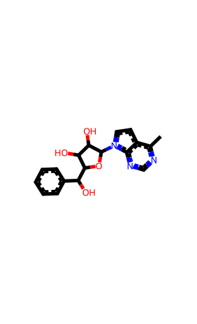 Cc1ncnc2c1ccn2C1OC(C(O)c2ccccc2)C(O)C1O